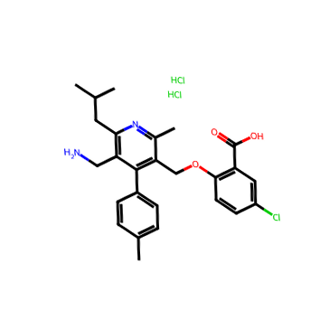 Cc1ccc(-c2c(COc3ccc(Cl)cc3C(=O)O)c(C)nc(CC(C)C)c2CN)cc1.Cl.Cl